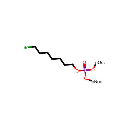 CCCCCCCCCOP(=O)(OCCCCCCCC)OCCCCCCCBr